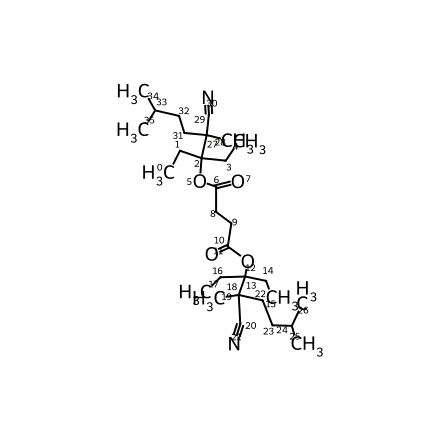 CCC(CC)(OC(=O)CCC(=O)OC(CC)(CC)C(C)(C#N)CCC(C)C)C(C)(C#N)CCC(C)C